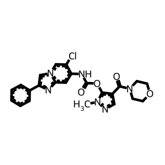 Cn1ncc(C(=O)N2CCOCC2)c1OC(=O)Nc1cc2nc(-c3ccccc3)cn2cc1Cl